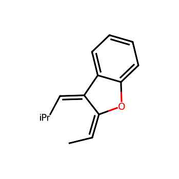 C/C=c1/oc2ccccc2/c1=C/C(C)C